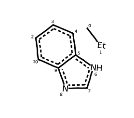 CCC.c1ccc2[nH]cnc2c1